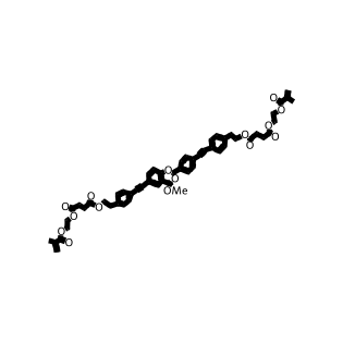 C=C(C)C(=O)OCCOC(=O)CCC(=O)OCCc1ccc(C#Cc2ccc(COc3ccc(C#Cc4ccc(CCOC(=O)CCC(=O)OCCOC(=O)C(=C)C)cc4)cc3C(=O)OC)cc2)cc1